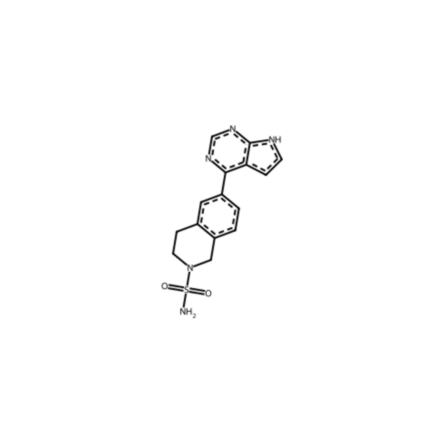 NS(=O)(=O)N1CCc2cc(-c3ncnc4[nH]ccc34)ccc2C1